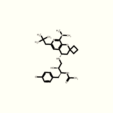 CC(=O)N[C@@H](Cc1ccc(Cl)cc1)[C@@H](O)CN[C@H]1CC2(CCC2)Oc2c1cc(CC(C)(C)C)nc2N(C)C